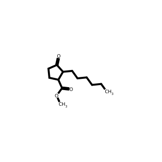 CCCCCCC1C(=O)CCC1C(=O)OC